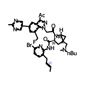 C/C=C/Cc1ccc(Br)nc1NC(=O)[C@@H]1C[C@@]2(CN(C)CCCC)C[C@H]2N1C(=O)Cn1nc(C(C)=O)c2cc(-c3cnc(C)nc3)cc(CF)c21